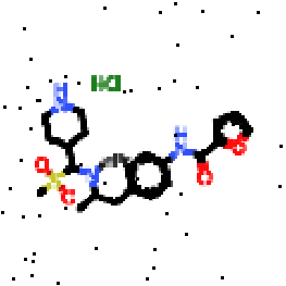 CCCN(C(C)Cc1ccc(NC(=O)c2ccco2)cc1)C(C1CCNCC1)S(C)(=O)=O.Cl